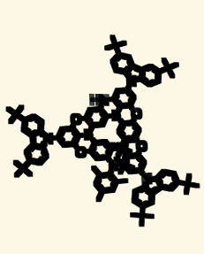 Cc1cc(C)c(N2c3cc4c(cc3B3c5cc(C(C)(C)C)ccc5Oc5cc(-n6c7ccc(C(C)(C)C)cc7c7cc(C(C)(C)C)ccc76)cc2c53)B2c3cc5c(cc3Oc3cc(-n6c7ccc(C(C)(C)C)cc7c7cc(C(C)(C)C)ccc76)cc(c32)O4)Nc2cc(-n3c4ccc(C(C)(C)C)cc4c4cc(C(C)(C)C)ccc43)cc3c2B5c2cc(C(C)(C)C)ccc2O3)c(C)c1